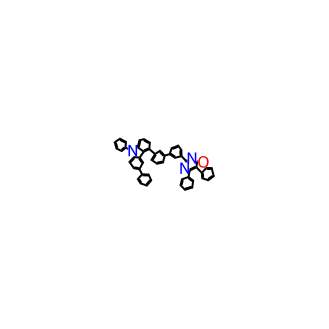 c1ccc(-c2ccc3c(c2)c2c(-c4cccc(-c5cccc(-c6nc(-c7ccccc7)c7c(n6)oc6ccccc67)c5)c4)cccc2n3-c2ccccc2)cc1